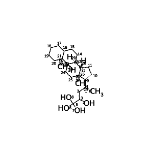 C[C@H](CC(O)C(O)(O)O)[C@H]1CC[C@H]2[C@@H]3CCC4CCCC[C@]4(C)[C@H]3CC[C@]12C